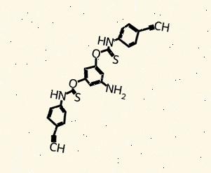 C#Cc1ccc(NC(=S)Oc2cc(N)cc(OC(=S)Nc3ccc(C#C)cc3)c2)cc1